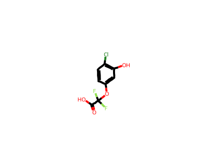 O=C(O)C(F)(F)Oc1ccc(Cl)c(O)c1